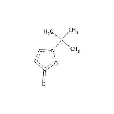 CC(C)(C)n1ccc(=O)o1